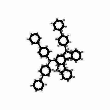 c1ccc(-c2ccc(N(c3ccc(-c4ccccc4)cc3)c3cc4c(c5ccccc5n4-c4ccc(-c5ccccc5)cc4)c4c3oc3ccccc34)cc2)cc1